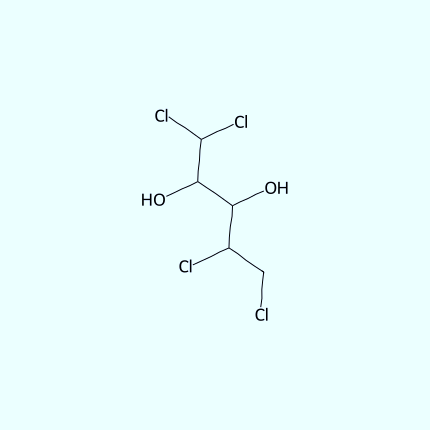 OC(C(Cl)Cl)C(O)C(Cl)CCl